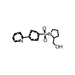 O=S(=O)(c1ccc(-c2ccc[c]n2)cc1)N1CCCC1CO